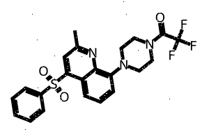 Cc1cc(S(=O)(=O)c2ccccc2)c2cccc(N3CCN(C(=O)C(F)(F)F)CC3)c2n1